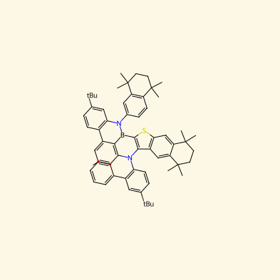 Cc1cc2c3c(c1)N(c1ccc(C(C)(C)C)cc1-c1ccccc1)c1c(sc4cc5c(cc14)C(C)(C)CCC5(C)C)B3N(c1ccc3c(c1)C(C)(C)CCC3(C)C)c1cc(C(C)(C)C)ccc1-2